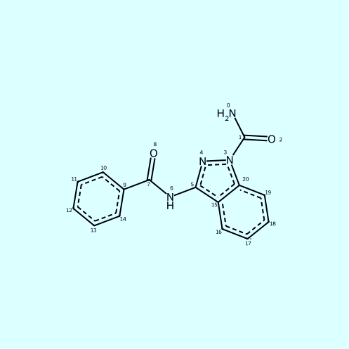 NC(=O)n1nc(NC(=O)c2ccccc2)c2c[c]ccc21